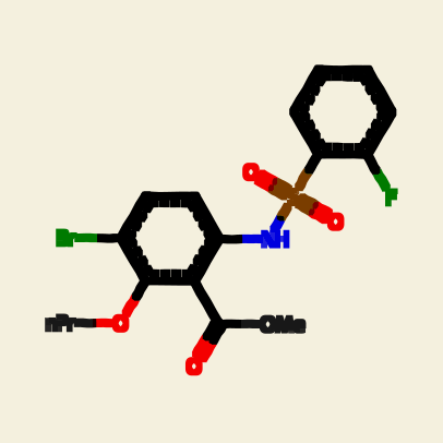 CCCOc1c(Br)ccc(NS(=O)(=O)c2ccccc2F)c1C(=O)OC